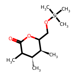 CC1C(=O)OC(CO[Si](C)(C)C)[C@@H](C)[C@@H]1C